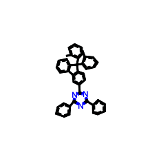 Cc1ccccc1C1(c2ccccc2C)c2ccccc2-c2cc(-c3nc(-c4ccccc4)nc(-c4ccccc4)n3)ccc21